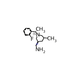 CC1C/C(=C\N)CN([C@@H](C)c2ccccc2F)C1